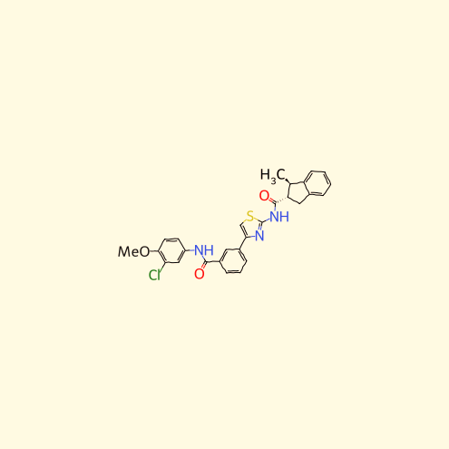 COc1ccc(NC(=O)c2cccc(-c3csc(NC(=O)[C@H]4Cc5ccccc5[C@@H]4C)n3)c2)cc1Cl